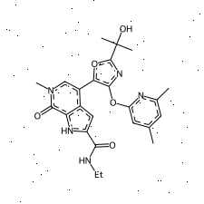 CCNC(=O)c1cc2c(-c3oc(C(C)(C)O)nc3Oc3cc(C)cc(C)n3)cn(C)c(=O)c2[nH]1